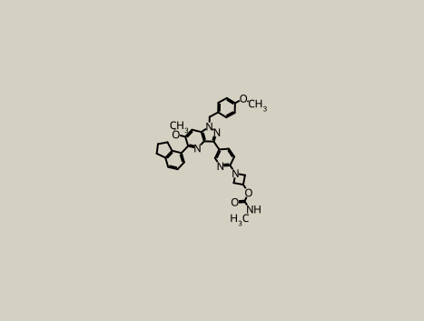 CNC(=O)OC1CN(c2ccc(-c3nn(Cc4ccc(OC)cc4)c4cc(OC)c(-c5cccc6c5CCC6)nc34)cn2)C1